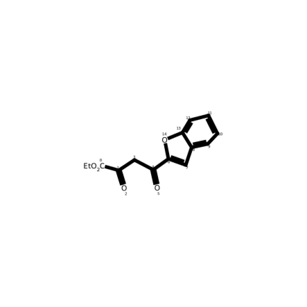 CCOC(=O)C(=O)CC(=O)c1cc2ccccc2o1